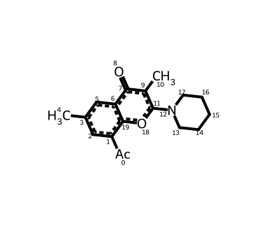 CC(=O)c1cc(C)cc2c(=O)c(C)c(N3CCCCC3)oc12